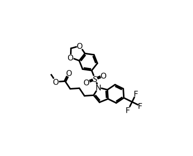 COC(=O)CCCc1cc2cc(C(F)(F)F)ccc2n1S(=O)(=O)c1ccc2c(c1)OCO2